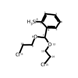 [SiH3]c1ccccc1C(OCCCl)OCCCl